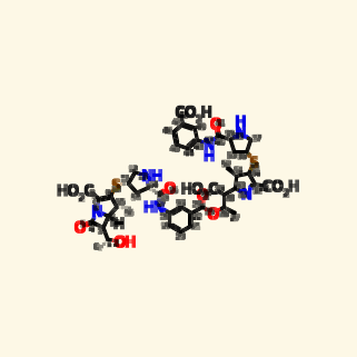 C[C@@H](O)[C@H]1C(=O)N2C(C(=O)O)=C(S[C@@H]3CN[C@H](C(=O)Nc4cccc(C(=O)O[C@H](C)[C@@H](C(=O)O)[C@@H]5N=C(C(=O)O)C(S[C@@H]6CN[C@H](C(=O)Nc7cccc(C(=O)O)c7)C6)[C@@H]5C)c4)C3)[C@H](C)[C@H]12